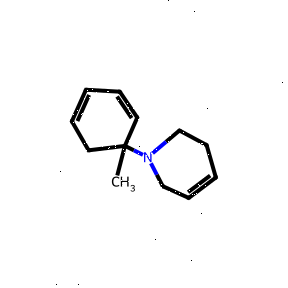 CC1(N2CC=CCC2)C=CC=CC1